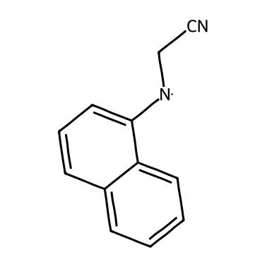 N#CC[N]c1cccc2ccccc12